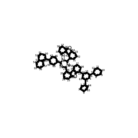 c1ccc(-c2cc(-c3ccccc3)cc(-c3cccc4c3oc3cccc(C5=NC(c6cccc7oc8ccccc8c67)NC(c6ccc(-c7cccc8ccccc78)cc6)=N5)c34)c2)cc1